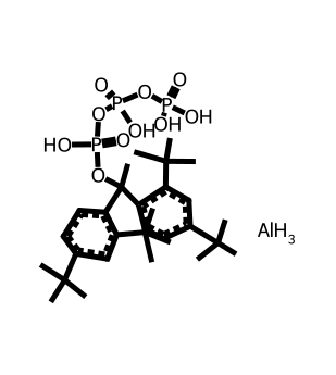 CC(C)(C)c1ccc(C(C)(OP(=O)(O)OP(=O)(O)OP(=O)(O)O)c2ccc(C(C)(C)C)cc2C(C)(C)C)c(C(C)(C)C)c1.[AlH3]